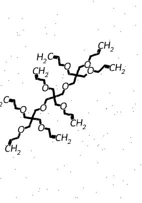 C=CCOCC(COCC=C)(COCC=C)COCC(COCC=C)(COCC=C)COCC(COCC=C)(COCC=C)COCC=C